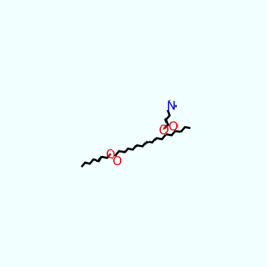 CCCCC=CCOC(=O)CCCCCCCCCCC(CCCCC)OC(=O)CCCN(C)C